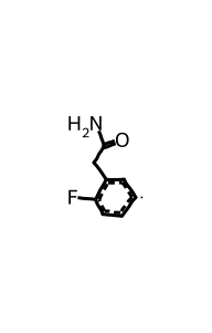 NC(=O)Cc1c[c]ccc1F